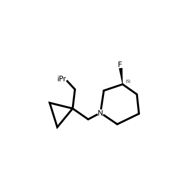 CC(C)CC1(CN2CCC[C@H](F)C2)CC1